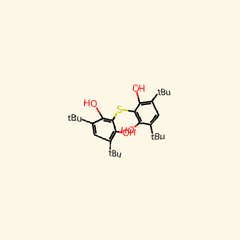 CC(C)(C)c1cc(C(C)(C)C)c(O)c(Sc2c(O)c(C(C)(C)C)cc(C(C)(C)C)c2O)c1O